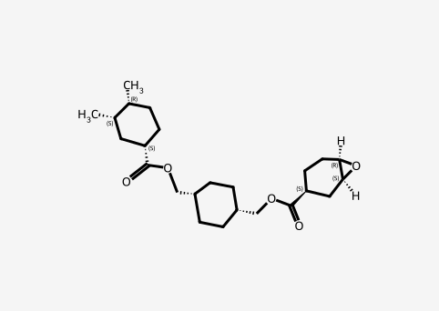 C[C@@H]1CC[C@H](C(=O)OC[C@H]2CC[C@@H](COC(=O)[C@H]3CC[C@H]4O[C@H]4C3)CC2)C[C@@H]1C